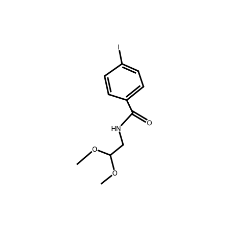 COC(CNC(=O)c1ccc(I)cc1)OC